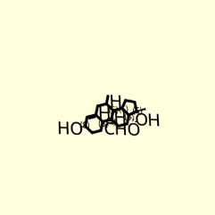 CC1CC2=C[C@@H](O)CC[C@]2(C=O)[C@H]2CC[C@@]3(C)[C@@H](CC[C@]3(C)O)[C@H]12